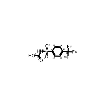 O=C(O)NS(=O)(=O)c1ccc(C(F)(F)F)cc1